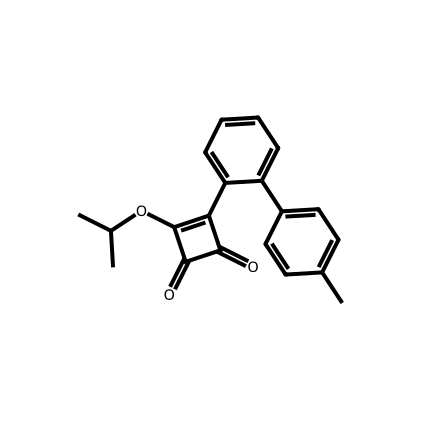 Cc1ccc(-c2ccccc2-c2c(OC(C)C)c(=O)c2=O)cc1